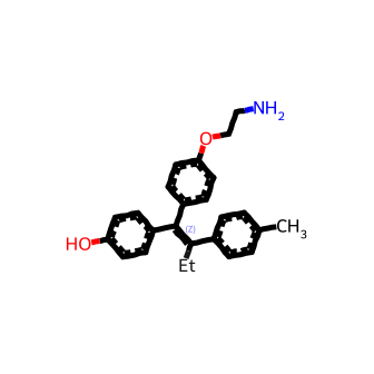 CC/C(=C(\c1ccc(O)cc1)c1ccc(OCCN)cc1)c1ccc(C)cc1